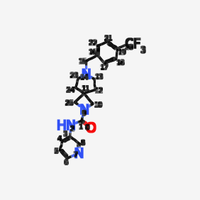 O=C(Nc1cccnc1)N1CC2(CCN(Cc3ccc(C(F)(F)F)cc3)CC2)C1